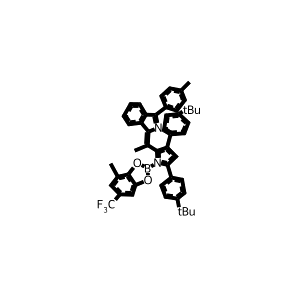 C/C(=C1/N=C(c2ccc(C)cc2)c2ccccc21)c1c(-c2ccc(C(C)(C)C)cc2)cc(-c2ccc(C(C)(C)C)cc2)n1B1Oc2cc(C(F)(F)F)cc(C)c2O1